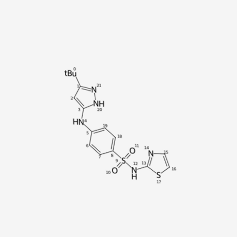 CC(C)(C)c1cc(Nc2ccc(S(=O)(=O)Nc3nccs3)cc2)[nH]n1